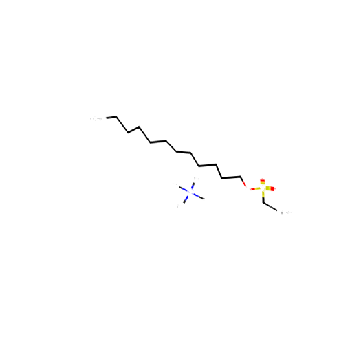 CCCCCCCCCCCCCCCCCCCCCOS(=O)(=O)CCCCCCCCCCC.CC[N+](CC)(CC)CC